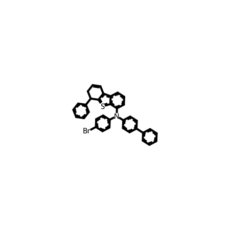 Brc1ccc(N(c2ccc(-c3ccccc3)cc2)c2cccc3c4c(sc23)C(c2ccccc2)CC=C4)cc1